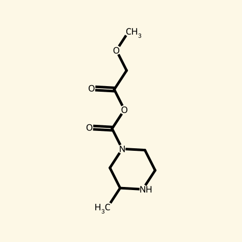 COCC(=O)OC(=O)N1CCNC(C)C1